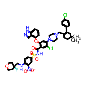 CC1(C)CCC(CN2CCN(c3cc(Oc4cccc5[nH]ncc45)c(C(=O)NS(=O)(=O)c4ccc(NCC5(F)CCOCC5)c([N+](=O)[O-])c4)cc3Cl)CC2)=C(c2ccc(Cl)cc2)C1